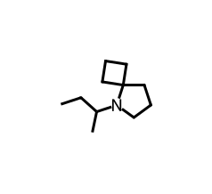 CCC(C)N1CCCC12CCC2